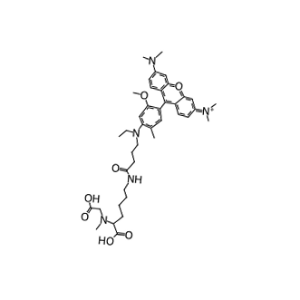 CCN(CCCC(=O)NCCCCC(C(=O)O)N(C)CC(=O)O)c1cc(OC)c(-c2c3ccc(=[N+](C)C)cc-3oc3cc(N(C)C)ccc23)cc1C